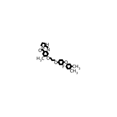 Cc1ccc(Oc2ccc(OCCCOc3cc4c(cc3C)C(=O)N3CCC[C@H]3C=N4)cc2F)cc1C